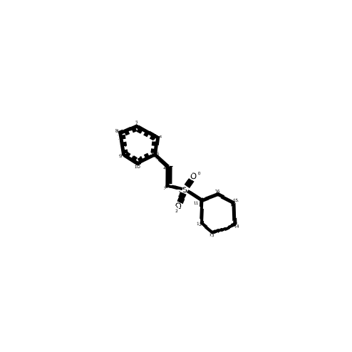 O=S(=O)(C=Cc1ccccc1)C1CCCCC1